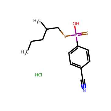 CCCC(C)CSP(O)(=S)c1ccc(C#N)cc1.Cl